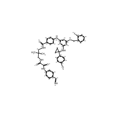 CC(C)(CNC(=O)C(=O)Nc1ccc(C=N)cc1)CNC(=O)c1ccc(Nc2nc(NC3(c4ccc(Cl)cc4)CC3)nc(OCc3ccccc3F)n2)cc1